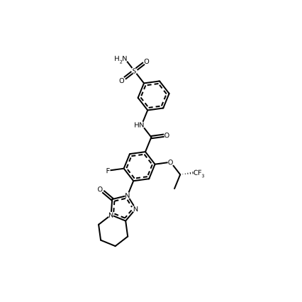 C[C@H](Oc1cc(-n2nc3n(c2=O)CCCC3)c(F)cc1C(=O)Nc1cccc(S(N)(=O)=O)c1)C(F)(F)F